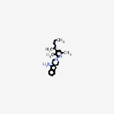 C/C=C\C=C(/C)c1cc(C)nc(N2CCC3(CC2)Cc2ccccc2C3N)c1C